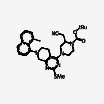 CSc1nc2c(c(N3CCN(C(=O)OC(C)(C)C)C(CC#N)C3)n1)CCN(c1cccc3cccc(C)c13)C2